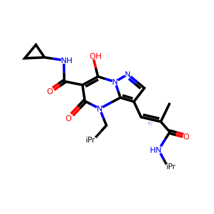 C/C(=C\c1cnn2c(O)c(C(=O)NC3CC3)c(=O)n(CC(C)C)c12)C(=O)NC(C)C